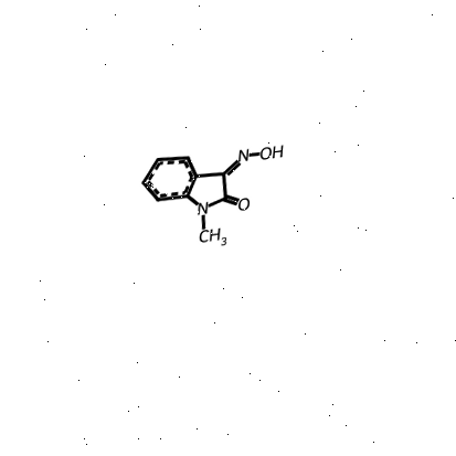 CN1C(=O)C(=NO)c2ccccc21